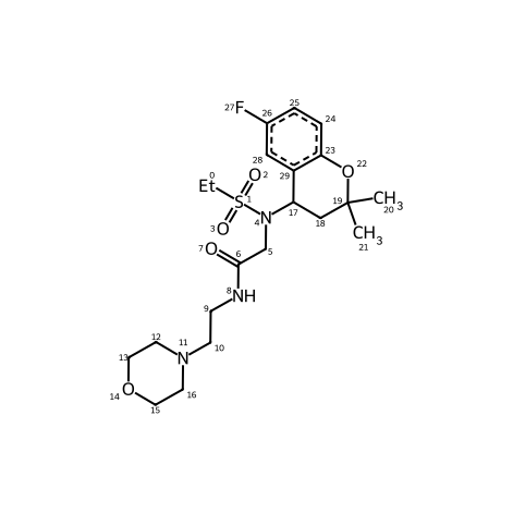 CCS(=O)(=O)N(CC(=O)NCCN1CCOCC1)C1CC(C)(C)Oc2ccc(F)cc21